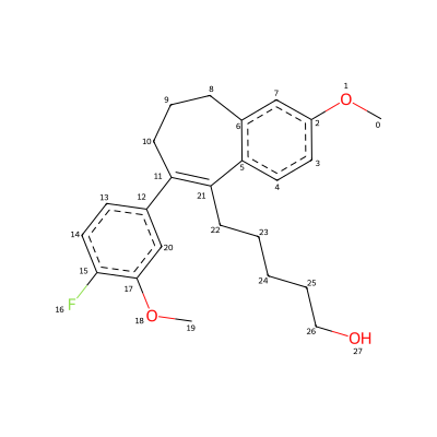 COc1ccc2c(c1)CCCC(c1ccc(F)c(OC)c1)=C2CCCCCO